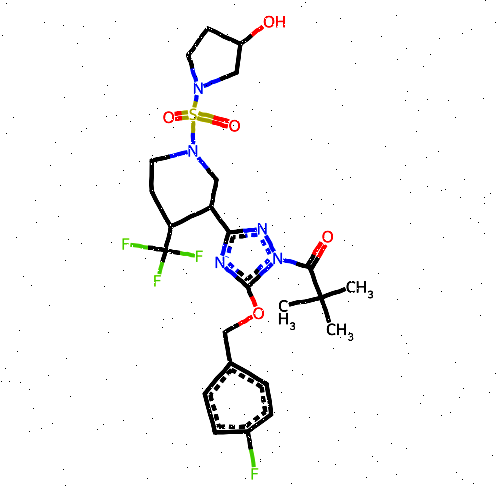 CC(C)(C)C(=O)n1nc(C2CN(S(=O)(=O)N3CCC(O)C3)CCC2C(F)(F)F)nc1OCc1ccc(F)cc1